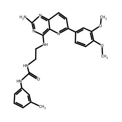 COc1ccc(-c2ccc3nc(N)nc(NCCNC(=O)Nc4cccc(C)c4)c3n2)cc1OC